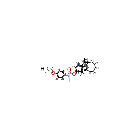 CCOc1ccc(NC(=O)Oc2ccc3c(c2)[C@@]2(C)CCCCC[C@@H](C3)[C@@H]2N)cc1